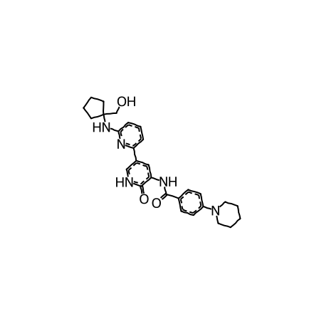 O=C(Nc1cc(-c2cccc(NC3(CO)CCCC3)n2)c[nH]c1=O)c1ccc(N2CCCCC2)cc1